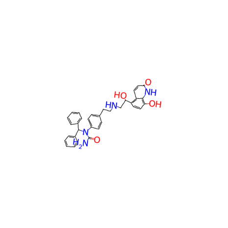 NC(=O)N(c1ccc(CCNC[C@@H](O)c2ccc(O)c3[nH]c(=O)ccc23)cc1)C(c1ccccc1)c1ccccc1